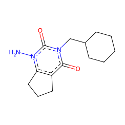 Nn1c2c(c(=O)n(CC3CCCCC3)c1=O)CCC2